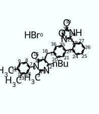 Br.CCCCc1nc(C)n(-c2ccc(C)c(C)c2)c(=O)c1Cc1ccc(-c2ccccc2-c2noc(=O)[nH]2)cc1